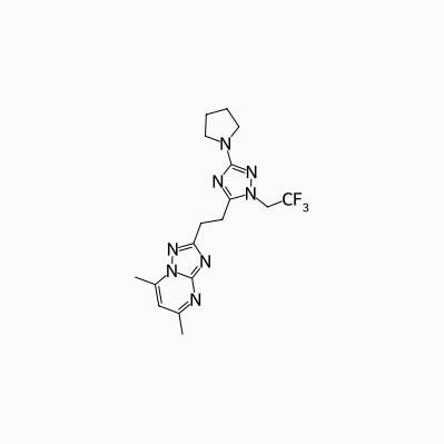 Cc1cc(C)n2nc(CCc3nc(N4CCCC4)nn3CC(F)(F)F)nc2n1